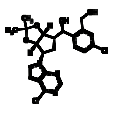 CC1(C)O[C@@H]2[C@@H]([C@@H](O)c3ccc(Cl)cc3CO)C[C@@H](n3ccc4c(Cl)ncnc43)[C@@H]2O1